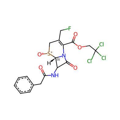 O=C(Cc1ccccc1)NC1C(=O)N2C(C(=O)OCC(Cl)(Cl)Cl)=C(CF)C[S+]([O-])[C@@H]12